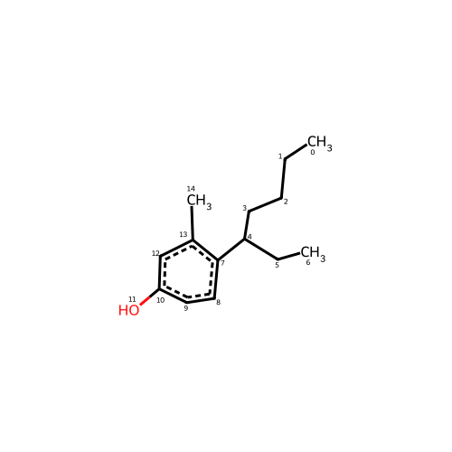 CCCCC(CC)c1ccc(O)cc1C